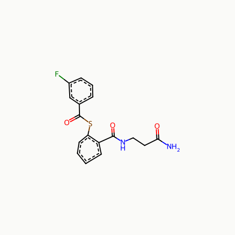 NC(=O)CCNC(=O)c1ccccc1SC(=O)c1cccc(F)c1